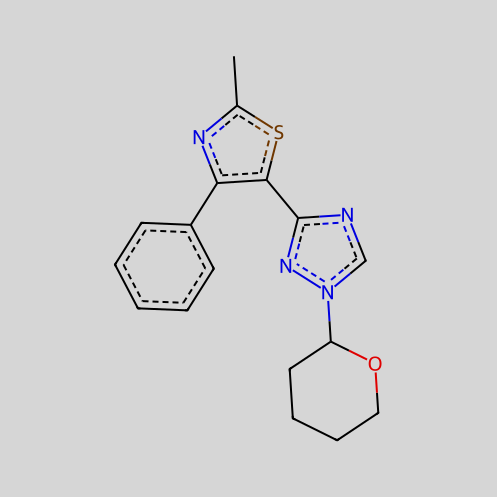 Cc1nc(-c2ccccc2)c(-c2ncn(C3CCCCO3)n2)s1